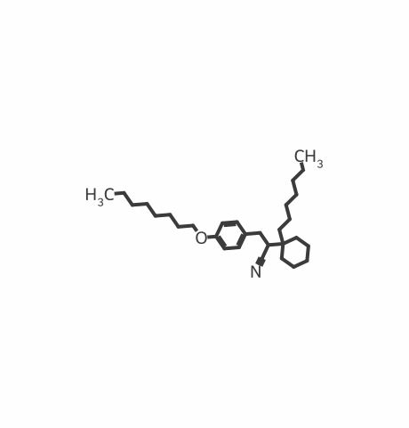 CCCCCCCCOc1ccc(CC(C#N)C2(CCCCCCC)CCCCC2)cc1